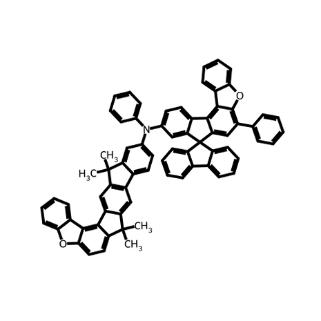 CC1(C)c2cc(N(c3ccccc3)c3ccc4c(c3)C3(c5ccccc5-c5ccccc53)c3cc(-c5ccccc5)c5oc6ccccc6c5c3-4)ccc2-c2cc3c(cc21)-c1c(ccc2oc4ccccc4c12)C3(C)C